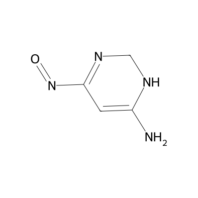 NC1=CC(N=O)=NCN1